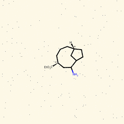 CCOC(=O)[C@H]1CCC[C@@H]2CCC(C2)C(N)C1